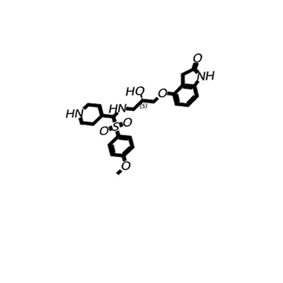 COc1ccc(S(=O)(=O)C(NC[C@H](O)COc2cccc3c2CC(=O)N3)C2CCNCC2)cc1